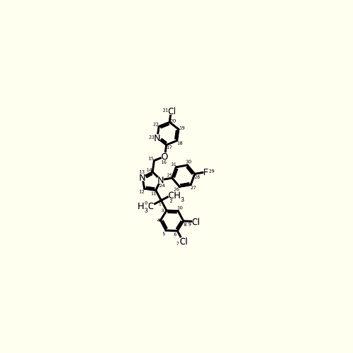 CC(C)(c1ccc(Cl)c(Cl)c1)c1cnc(COc2ccc(Cl)cn2)n1-c1ccc(F)cc1